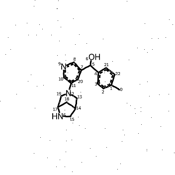 Cc1ccc(C(O)c2cncc(N3CC4CNC(C4)C3)c2)cc1